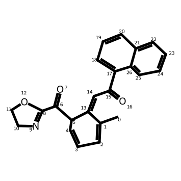 CC1=CC=CC(C(=O)C2=NCCO2)C1=CC(=O)c1cccc2ccccc12